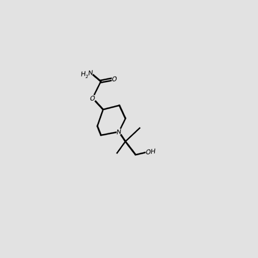 CC(C)(CO)N1CCC(OC(N)=O)CC1